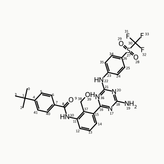 CC(C)(C)c1ccc(C(=O)Nc2cccc(-c3nc(N)nc(Nc4ccc(S(=O)(=O)C(F)(F)F)cc4)n3)c2CO)cc1